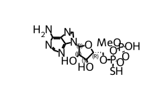 COP(=O)(O)OP(=O)(S)OC[C@H]1O[C@@H](n2cnc3c(N)ncnc32)[C@H](O)[C@@H]1O